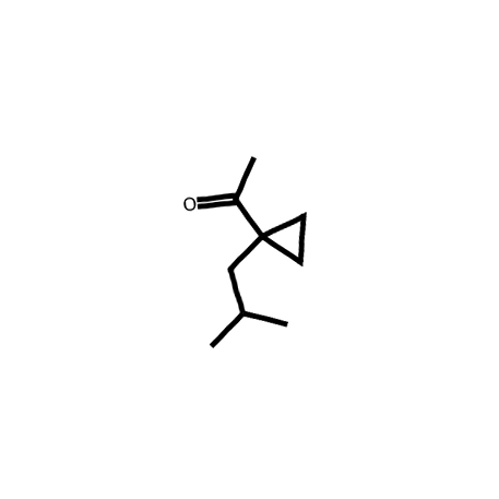 CC(=O)C1(CC(C)C)CC1